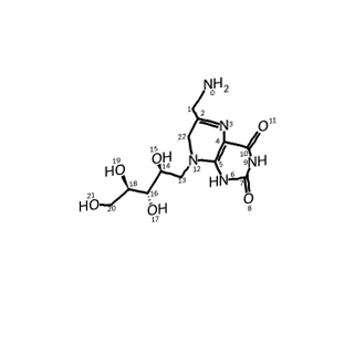 NCC1=Nc2c([nH]c(=O)[nH]c2=O)N(C[C@H](O)[C@H](O)[C@H](O)CO)C1